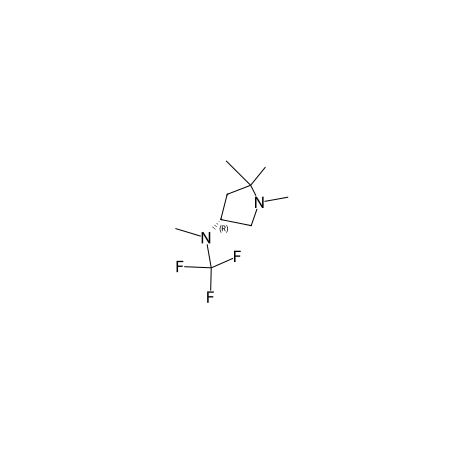 CN([C@H]1CN(C)C(C)(C)C1)C(F)(F)F